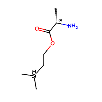 C[C@H](N)C(=O)OCC[SiH](C)C